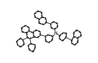 c1ccc(-c2c(-c3ccccc3)c3cc(-c4cccc(N(c5ccc(-c6cccc7ccccc67)cc5)c5cccc(-c6ccc7ccccc7c6)c5)c4)ccc3c3ccccc23)cc1